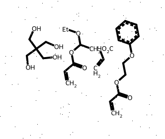 C=CC(=O)O.C=CC(=O)OC(C)OCC.C=CC(=O)OCCOc1ccccc1.OCC(CO)(CO)CO